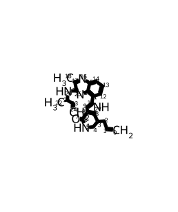 C=CCC1CNC(=O)c2cc(-c3cccc4nc(C)c(N[C@H](C)C=C)nc34)[nH]c21